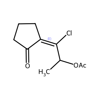 CC(=O)OC(C)/C(Cl)=C1/CCCC1=O